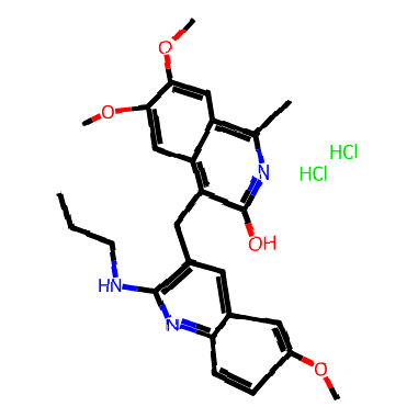 CCCNc1nc2ccc(OC)cc2cc1Cc1c(O)nc(C)c2cc(OC)c(OC)cc12.Cl.Cl